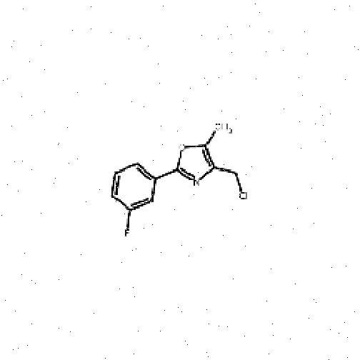 Cc1oc(-c2cccc(F)c2)nc1CCl